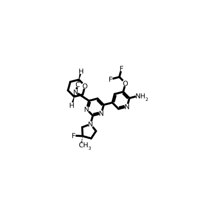 C[C@@]1(F)CCN(c2nc(-c3cnc(N)c(OC(F)F)c3)cc(N3C[C@@H]4CC[C@H]3CO4)n2)C1